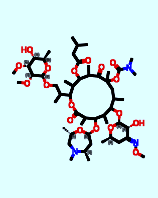 CON=C1C[C@@H](C)O[C@@H](OC2C(C)CC(C)(OC(=O)N(C)C)C(=O)C(C)C(OC(=O)CC(C)C)C(C)C(C(C)CO[C@@H]3O[C@H](C)[C@@H](O)[C@@H](OC)[C@H]3OC)OC(=O)C(C)C(O[C@H]3C[C@@H](C)N(C)C[C@H](C)O3)C2C)[C@@H]1O